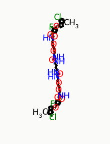 Cc1cc(Cl)cc2c1CC[C@H]2Oc1ccc(S(=O)(=O)NCCOCCOCCNC(=O)NCCCCNC(=O)NCCOCCOCCNS(=O)(=O)c2ccc(O[C@@H]3CCc4c(C)cc(Cl)cc43)c(F)c2)cc1F